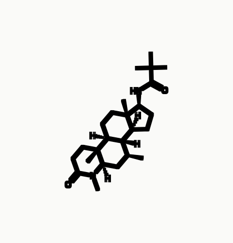 C[C@H]1C[C@H]2N(C)C(=O)CC[C@]2(C)[C@H]2CC[C@]3(C)[C@@H](NC(=O)C(C)(C)C)CC[C@H]3[C@H]12